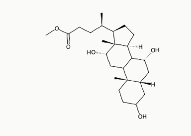 COC(=O)CC[C@@H](C)[C@H]1CC[C@H]2C3C(C[C@H](O)[C@]12C)[C@@]1(C)CCC(O)C[C@H]1C[C@H]3O